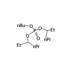 CCCCOP(=O)(OC(CC)CCC)OC(CC)CCC